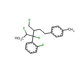 Cc1ccc(CCC(CF)C(F)(c2ccccc2F)C(F)C(=O)O)cc1